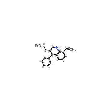 C=Cc1cccc2c(-c3ccccc3)c(CC(=O)OCC)cnc12